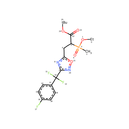 CCOP(C)(=O)C(Cc1nc(C(F)(F)c2ccc(F)cc2)no1)C(=O)OC(C)(C)C